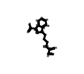 C=C(C)c1nn(CCCNC(=O)OC)c2ncccc12